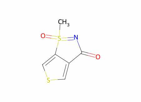 CS1(=O)=NC(=O)c2cscc21